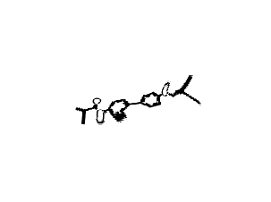 C=C(C)COc1ccc(-c2ccc(OC(=O)C(=C)C)cc2)cc1